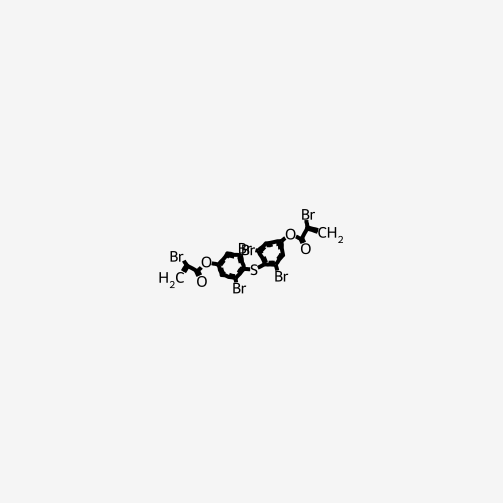 C=C(Br)C(=O)Oc1cc(Br)c(Sc2c(Br)cc(OC(=O)C(=C)Br)cc2Br)c(Br)c1